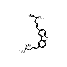 CCCCN(CC=Cc1ccc2oc3ccc(C=CCN(CCCC)CCCC)cc3c2c1)CCCC